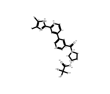 Cc1nc(-c2cc(-c3cncc(C(=O)N4CC[C@H](OC(=O)C(F)(F)F)C4)c3)ccn2)[nH]c1C